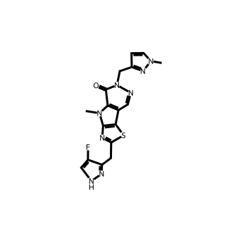 Cn1ccc(Cn2ncc3c4sc(Cc5n[nH]cc5F)nc4n(C)c3c2=O)n1